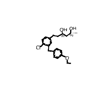 CCOc1ccc(Cc2cc(CC[C@@H](O)C[C@@H](C)O)ccc2Cl)cc1